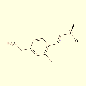 Cc1cc(CC(=O)O)ccc1/C=C/[S@@+](C)[O-]